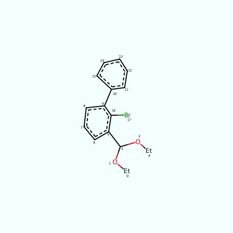 CCOC(OCC)c1cccc(-c2ccccc2)c1Br